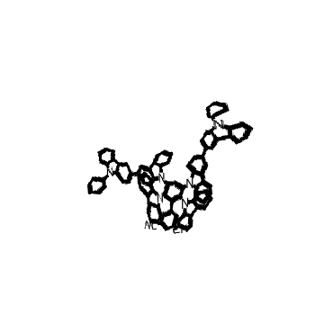 N#Cc1cc(C#N)cc(-c2c(-n3c4ccccc4c4ccccc43)c(-n3c4ccccc4c4cc(-c5ccc6c(c5)c5ccccc5n6-c5ccccc5)ccc43)cc(-n3c4ccccc4c4cc(-c5ccc6c(c5)c5ccccc5n6-c5ccccc5)ccc43)c2-n2c3ccccc3c3ccccc32)c1